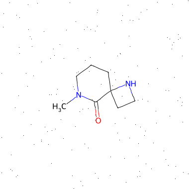 CN1CCCC2(CCN2)C1=O